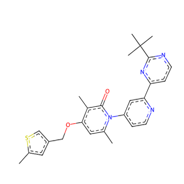 Cc1cc(COc2cc(C)n(-c3ccnc(-c4ccnc(C(C)(C)C)n4)c3)c(=O)c2C)cs1